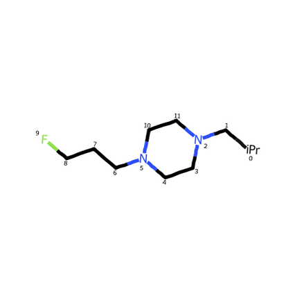 CC(C)CN1CCN(CCCF)CC1